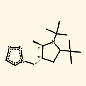 C[C@@H]1[C@@H](Cn2ccnn2)CC(C(C)(C)C)N1C(C)(C)C